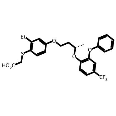 CCc1cc(OCC[C@H](C)Oc2ccc(C(F)(F)F)cc2Oc2ccccc2)ccc1SCC(=O)O